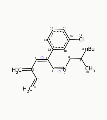 C=CC(=C)/C=C(\C=N/CC(C)CCCC)c1cccc(Cl)c1